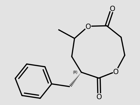 CC1C[C@@H](Cc2ccccc2)C(=O)OCCC(=O)O1